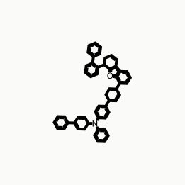 C1=Cc2c(oc3c(C4=CCC(c5ccc(N(c6ccccc6)C6C=CC(c7ccccc7)=CC6)cc5)C=C4)cccc23)C(c2ccccc2-c2ccccc2)C1